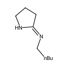 CCCCC/N=C1/CCCN1